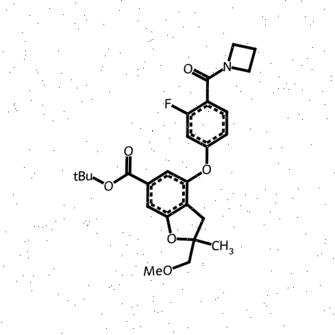 COCC1(C)Cc2c(Oc3ccc(C(=O)N4CCC4)c(F)c3)cc(C(=O)OC(C)(C)C)cc2O1